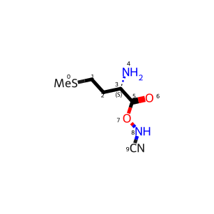 CSCC[C@H](N)C(=O)ONC#N